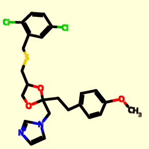 COc1ccc(CCC2(Cn3ccnc3)OCC(CSCc3cc(Cl)ccc3Cl)O2)cc1